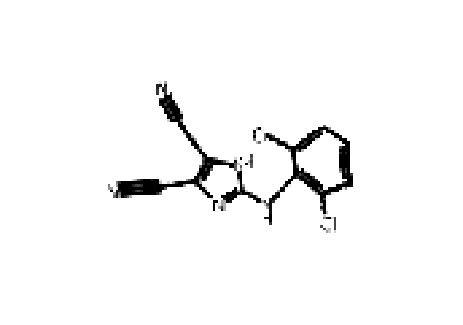 N#Cc1nc(Nc2c(Cl)cccc2Cl)[nH]c1C#N